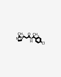 Cc1nccn1CCC(=O)NC(C)c1ccc(Cl)cc1